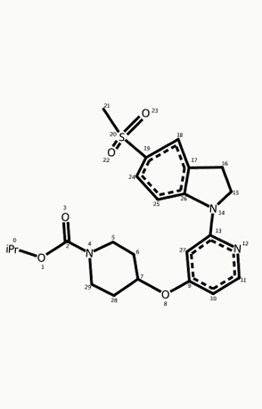 CC(C)OC(=O)N1CCC(Oc2ccnc(N3CCc4cc(S(C)(=O)=O)ccc43)c2)CC1